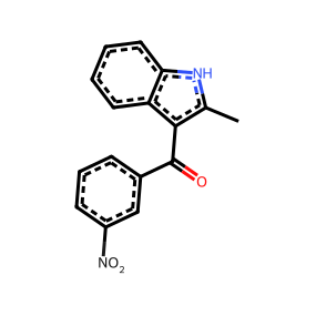 Cc1[nH]c2ccccc2c1C(=O)c1cccc([N+](=O)[O-])c1